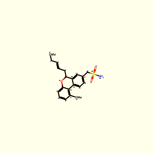 COCC=CCC1Oc2cccc(OC)c2-c2ccc(CS(N)(=O)=O)cc21